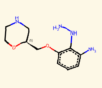 NNc1c(N)cccc1OC[C@@H]1CNCCO1